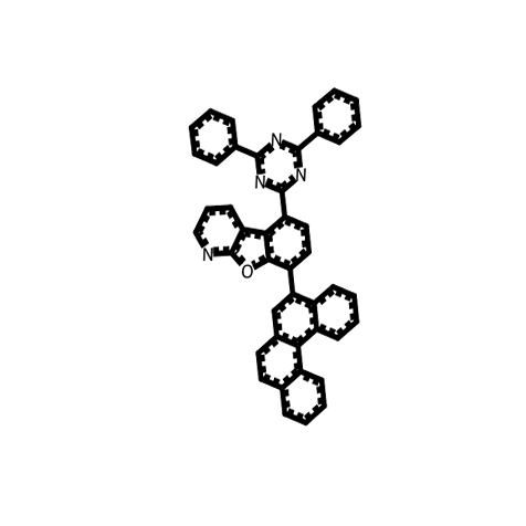 c1ccc(-c2nc(-c3ccccc3)nc(-c3ccc(-c4cc5ccc6ccccc6c5c5ccccc45)c4oc5ncccc5c34)n2)cc1